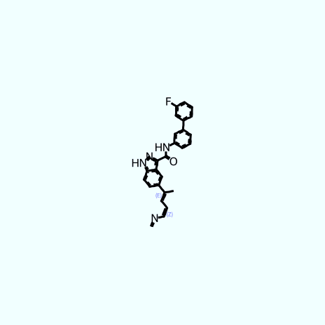 C=N/C=C\C=C(/C)c1ccc2[nH]nc(C(=O)Nc3cccc(-c4cccc(F)c4)c3)c2c1